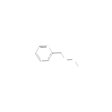 CSSCc1ccccn1